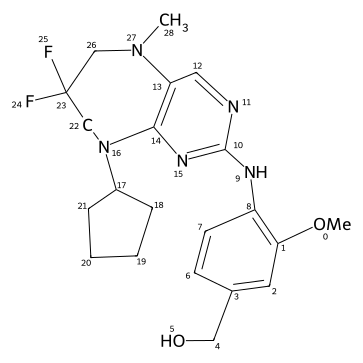 COc1cc(CO)ccc1Nc1ncc2c(n1)N(C1CCCC1)CC(F)(F)CN2C